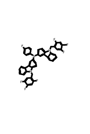 Fc1ccc(N(c2ccc3c(c2)c2ccccc2n3Cc2cc(F)c(F)cc2F)c2ccc3c(c2)c2ccccc2n3Cc2cc(F)c(F)cc2F)cc1